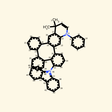 CC1(C)C=CN(c2ccccc2)c2cc3c(cc21)-c1ccccc1-c1ccccc1-c1c-3cccc1-n1c2ccccc2c2ccccc21